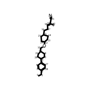 CCc1ccc(C2CCC(COC3CCC(CCC=C(F)C#N)CC3)CC2)cc1